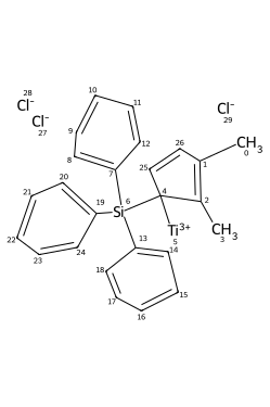 CC1=C(C)[C]([Ti+3])([Si](c2ccccc2)(c2ccccc2)c2ccccc2)C=C1.[Cl-].[Cl-].[Cl-]